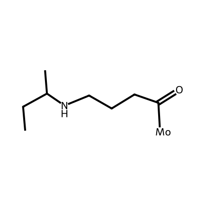 CCC(C)NCCC[C](=O)[Mo]